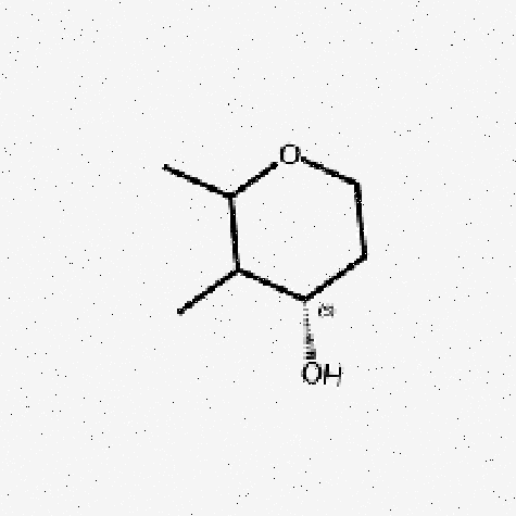 CC1OCC[C@H](O)C1C